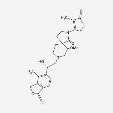 COC1CN(C[C@@H](O)c2ccc3c(c2C)COC3=O)CCC12CCN(C1=C(C)C(=O)OC1)C2=O